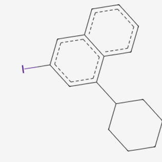 Ic1cc(C2CCCCC2)c2ccccc2c1